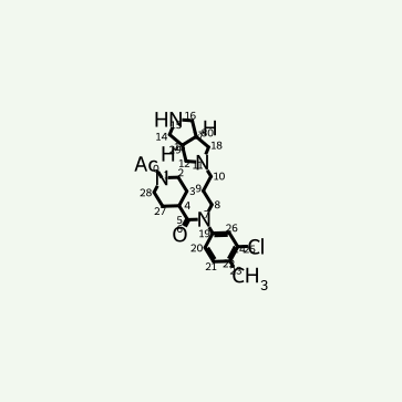 CC(=O)N1CCC(C(=O)N(CCCN2C[C@H]3CNC[C@H]3C2)c2ccc(C)c(Cl)c2)CC1